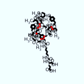 C=C[C@@H](C[C@H](Cc1ccc(O)cc1)NC(=O)c1csc([C@@H](C[C@H](C(C)C)N(COC(=O)CCC)C(=O)C(NC(=O)[C@H]2CCCCN2C)[C@@H](C)CC)OC(C)=O)n1)C(=O)NNC(=O)OCCSSC[C@@H](C)NC(=O)[C@H](C)NC(=O)[C@H](Cc1ccccc1)NC(=O)Cc1ccc(CNC(=O)NCCCCCNC(=O)N[C@@H](CCC(=O)O)C(=O)O)cc1